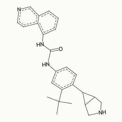 CC(C)(C)c1cc(NC(=O)Nc2cccc3cnccc23)ccc1C1C2CNCC21